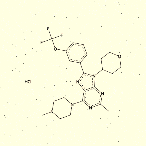 Cc1nc(N2CCN(C)CC2)c2nc(-c3cccc(OC(F)(F)F)c3)n(C3CCOCC3)c2n1.Cl